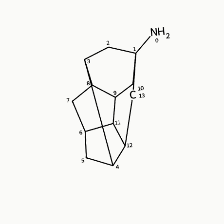 NC12CC3C4CC5CC3C(C1)C5C4C2